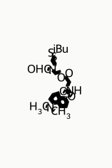 CCC(C)SSC=CN(C=O)CCOC(=O)CCNS(=O)(=O)c1cccc2c(N(C)C)cccc12